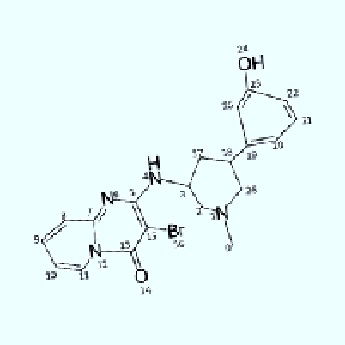 CN1CC(Nc2nc3ccccn3c(=O)c2Br)CC(c2cccc(O)c2)C1